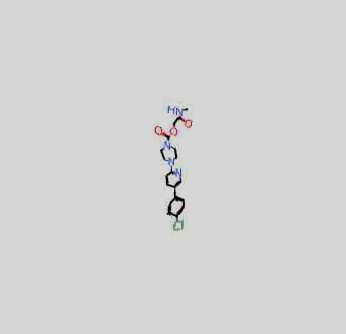 CNC(=O)COC(=O)N1CCN(c2ccc(-c3ccc(Cl)cc3)cn2)CC1